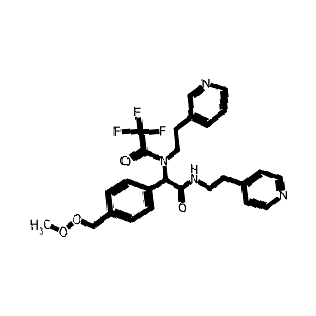 COOCc1ccc(C(C(=O)NCCc2ccncc2)N(CCc2cccnc2)C(=O)C(F)(F)F)cc1